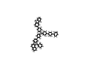 c1ccc(-c2ccc(-c3ccc(N(c4ccc(-c5ccc6sc7ccccc7c6c5)cc4)c4ccc(-c5ccc6c7ccc8ccccc8c7n(-c7ccccc7)c6c5)cc4)cc3)cc2)cc1